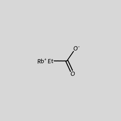 CCC(=O)[O-].[Rb+]